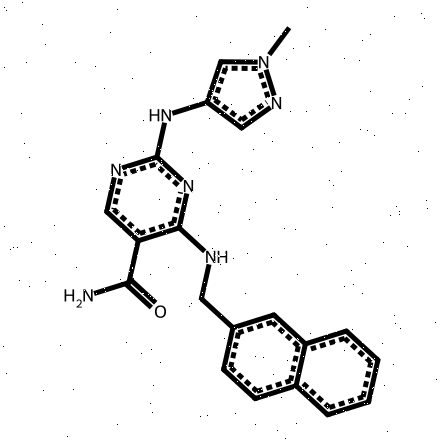 Cn1cc(Nc2ncc(C(N)=O)c(NCc3ccc4ccccc4c3)n2)cn1